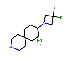 Cl.Cl.FC1(F)CN(C2CCC3(CCNCC3)CC2)C1